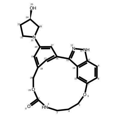 O=C1NCCCOc2ccc3[nH]nc(c3c2)-c2cc(cc(N3CC[C@@H](O)C3)c2)CO1